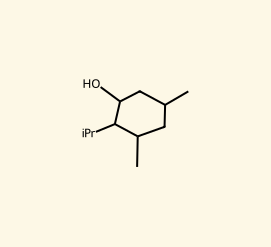 CC1CC(C)C(C(C)C)C(O)C1